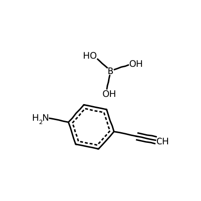 C#Cc1ccc(N)cc1.OB(O)O